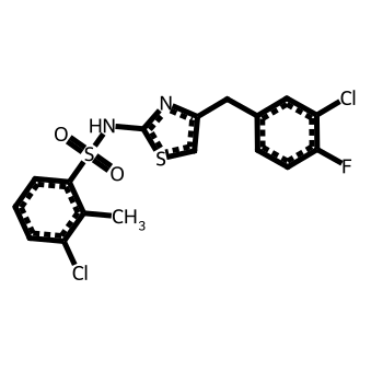 Cc1c(Cl)cccc1S(=O)(=O)Nc1nc(Cc2ccc(F)c(Cl)c2)cs1